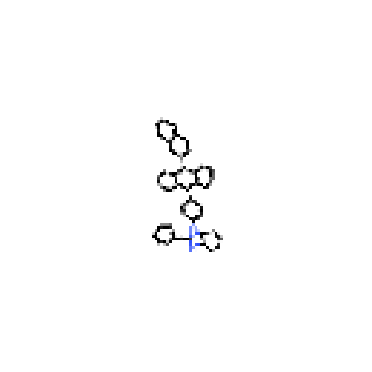 C1=Cc2c(nc(-c3ccccc3)n2-c2ccc(-c3c4ccccc4c(-c4ccc5ccccc5c4)c4ccccc34)cc2)CC1